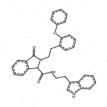 O=C(NCCc1c[nH]c2ccccc12)C1c2ccccc2C(=O)N1CCc1ccccc1Oc1ccccc1